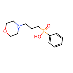 O=P(O)(CCCN1CCOCC1)c1ccccc1